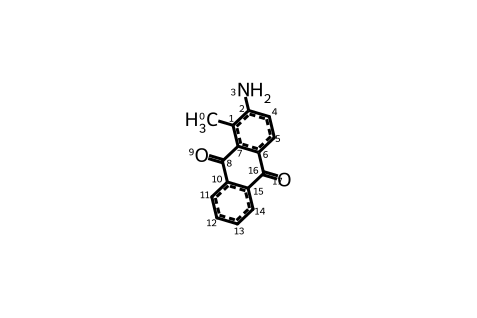 Cc1c(N)ccc2c1C(=O)c1ccccc1C2=O